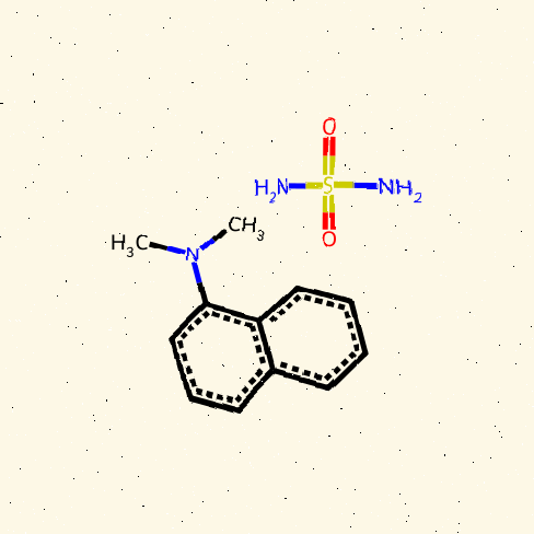 CN(C)c1cccc2ccccc12.NS(N)(=O)=O